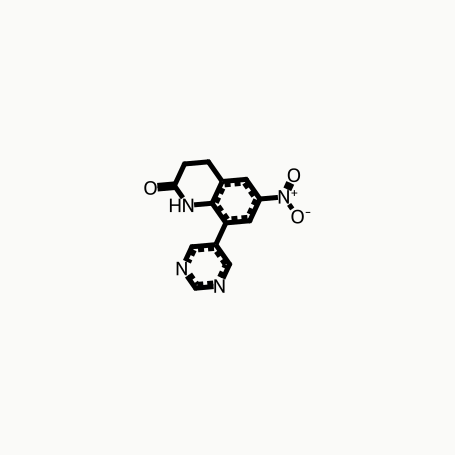 O=C1CCc2cc([N+](=O)[O-])cc(-c3cncnc3)c2N1